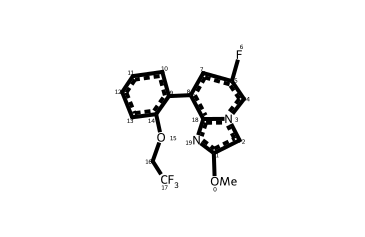 COc1cn2cc(F)cc(-c3ccccc3OCC(F)(F)F)c2n1